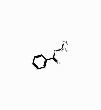 C[SiH2]OC(=O)c1ccccc1